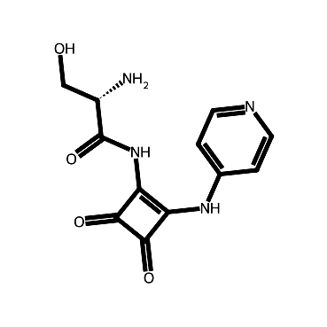 N[C@@H](CO)C(=O)Nc1c(Nc2ccncc2)c(=O)c1=O